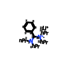 CCCN(CCC)C(c1ccccc1)[N+](CCC)CCC.[Li+]